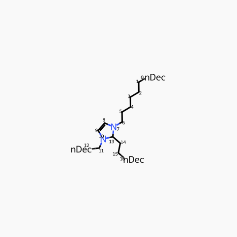 CCCCCCCCCCCCCCCCN1C=CN(CCCCCCCCCCC)C1CCCCCCCCCCCC